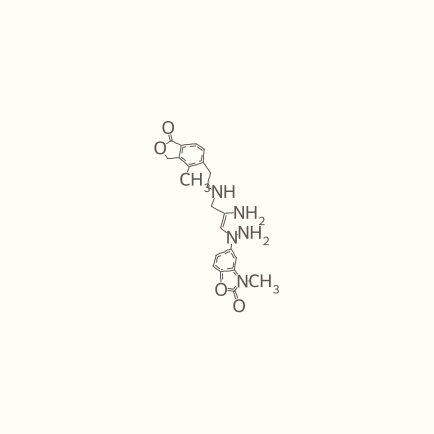 Cc1c(CCNC/C(N)=C/N(N)c2ccc3oc(=O)n(C)c3c2)ccc2c1COC2=O